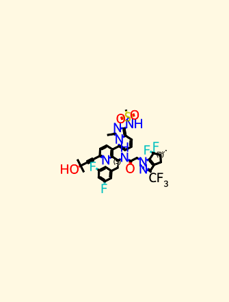 Cc1nc(NS(C)(=O)=O)c2cccc(-c3ccc(C#CC(C)(C)O)nc3[C@H](Cc3cc(F)cc(F)c3)NC(=O)Cn3nc(C(F)(F)F)c4c3C(F)(F)[C@H](C)C4)n12